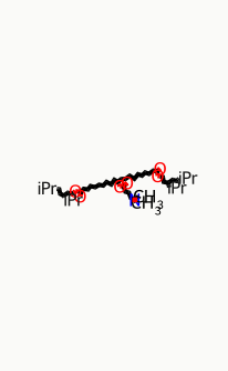 CC(C)CCC(CCOC(=O)CCCCCCCCCC(CCCCCCCCCC(=O)OCCC(CCC(C)C)C(C)C)OC(=O)CCCN(C)C)C(C)C